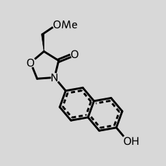 COC[C@@H]1OCN(c2ccc3cc(O)ccc3c2)C1=O